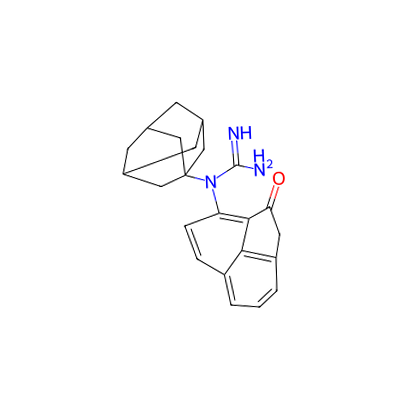 N=C(N)N(c1ccc2cccc3c2c1C(=O)C3)C12CC3CC(CC(C3)C1)C2